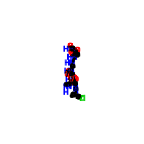 CC1(C)CCC(CN2CCN(c3ccc(C(=O)NS(=O)(=O)c4ccc(NC[C@H]5CC[C@@H](NCCCNc6cccc7c6C(=O)N(C6CCC(=O)NC6=O)C7=O)CC5)c([N+](=O)[O-])c4)c(Oc4cnc5[nH]ccc5c4)c3)CC2)=C(c2ccc(Cl)cc2)C1